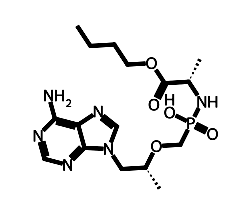 CCCCOC(=O)[C@H](C)NP(=O)(O)CO[C@H](C)Cn1cnc2c(N)ncnc21